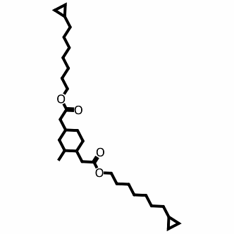 CC1CC(CC(=O)OCCCCCCCC2CC2)CCC1CC(=O)OCCCCCCCC1CC1